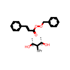 CCCC([C@H](C)O)[C@@H](C)O.O=C(C=Cc1ccccc1)OOCc1ccccc1